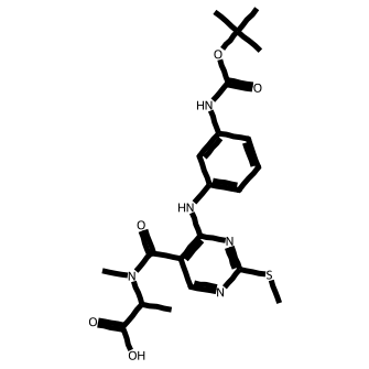 CSc1ncc(C(=O)N(C)C(C)C(=O)O)c(Nc2cccc(NC(=O)OC(C)(C)C)c2)n1